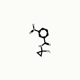 CC1(NC(=O)c2cccc([N+](=O)[O-])c2)CC1